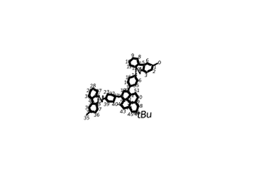 Cc1ccc2c(c1)c1ccccc1n2-c1ccc(-c2cc(-c3ccc(-n4c5ccccc5c5cc(C)ccc54)cc3)c3ccc4cc(C(C)(C)C)cc5ccc2c3c54)cc1